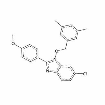 COc1ccc(-c2nc3ccc(Cl)cc3n2OCc2cc(C)cc(C)c2)cc1